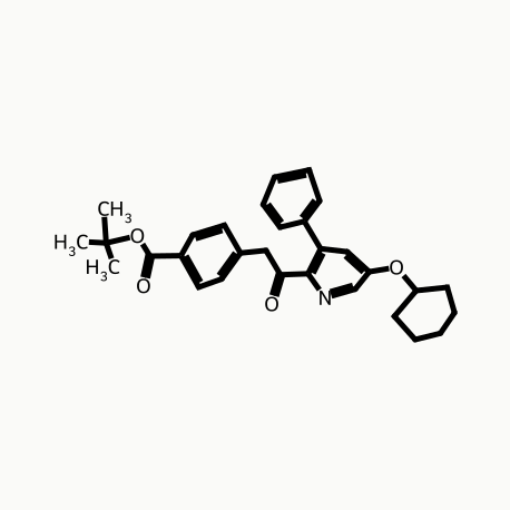 CC(C)(C)OC(=O)c1ccc(CC(=O)c2ncc(OC3CCCCC3)cc2-c2ccccc2)cc1